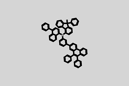 CC1(c2ccccc2)c2ccccc2-c2c(N(c3cccc(-c4ccc5c(c4)c(-c4ccccc4)c(-c4ccccc4)c4ccccc45)c3)c3ccc(-c4ccccc4)c4ccccc34)cccc21